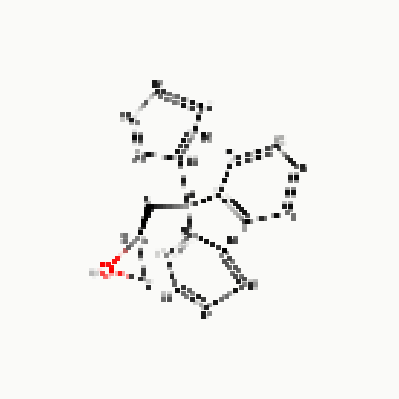 c1ccc(C(C[C@H]2CO2)(c2ccccc2)c2ccccc2)cc1